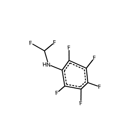 Fc1c(F)c(F)c(NC(F)F)c(F)c1F